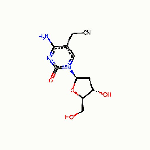 N#CCc1cn([C@H]2C[C@H](O)[C@@H](CO)O2)c(=O)nc1N